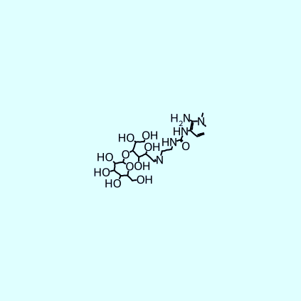 C=C/C(NC(=O)NCC/N=C\C(O)C(O)C(OC1OC(CO)C(O)C(O)C1O)C(O)CO)=C(/N)N(C)C